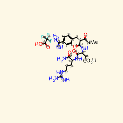 CNC(=O)[C@H](Cc1ccc(C(=N)N)cc1)C(=O)NC(CC(=O)O)C(=O)NC(CCCNC(=N)N)C(N)=O.O=C(O)C(F)(F)F